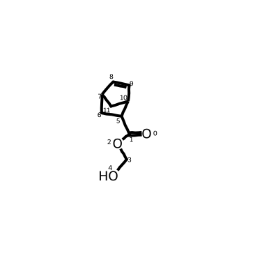 O=C(OCO)C1CC2C=CC1C2